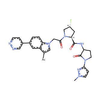 CC(=O)c1cn(CC(=O)N2C[C@H](F)C[C@H]2C(=O)NC2CCN(c3ccn(C)n3)C2=O)c2ccc(-c3ccnnc3)cc12